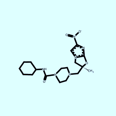 C[C@]1(CN2CCN(C(=O)NC3CCCCC3)CC2)Cn2cc([N+](=O)[O-])nc2O1